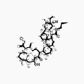 CCCNC(=O)NC1C=C[C@]2(O[C@H](C(CC)C(=O)[C@@H](C)[C@@H](O)[C@H](C)[C@@H]3O[C@@H](C(CC)C(=O)N=O)CC[C@@H]3C)[C@@H](C)C[C@H]2C)O[C@@]12CC[C@@](C)([C@H]1CC[C@](O)(CC)[C@H](C)O1)O2